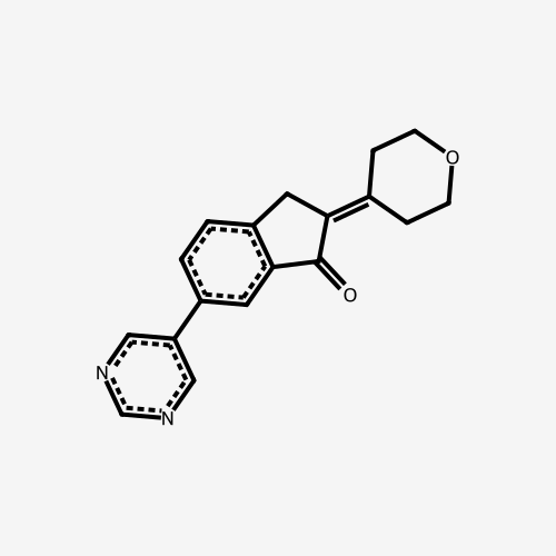 O=C1C(=C2CCOCC2)Cc2ccc(-c3cncnc3)cc21